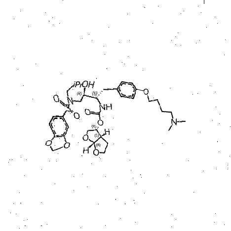 CC(C)CN(C[C@@H](O)[C@H](Cc1ccc(OCCCCN(C)C)cc1)NC(=O)O[C@H]1CO[C@H]2OCC[C@H]21)S(=O)(=O)c1ccc2c(c1)OCO2